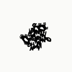 N#Cc1cnn(-c2nc(=O)[nH]c(=O)[nH]2)c1N=NC(C(=O)Nc1ccccc1O)c1nc2ccccc2c(=O)[nH]1